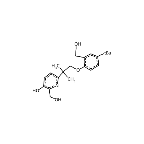 CC(C)(C)c1ccc(OCC(C)(C)c2ccc(O)c(CO)n2)c(CO)c1